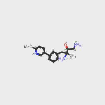 COc1ccc(-c2cccc(CC(C)(N)C(=O)CN)c2)cn1